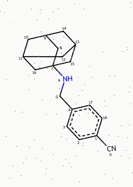 N#Cc1ccc(CNC23CC4CC(CC(C4)C2)C3)cc1